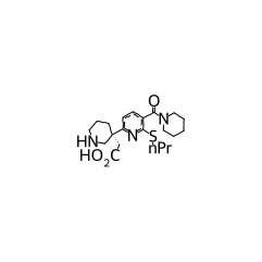 CCCSc1nc([C@]2(CC(=O)O)CCCNC2)ccc1C(=O)N1CCCCC1